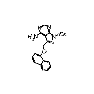 CC(C)(C)n1nc(COc2cccc3ccccc23)c2c(N)ncnc21